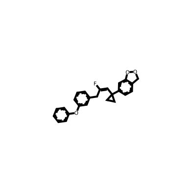 F/C(=C/C1(c2ccc3c(c2)OOC3)CC1)Cc1cccc(Oc2ccccc2)c1